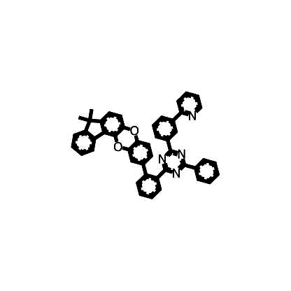 CC1(C)c2ccccc2-c2c1ccc1c2Oc2cc(-c3ccccc3-c3nc(-c4ccccc4)nc(-c4cccc(-c5ccccn5)c4)n3)ccc2O1